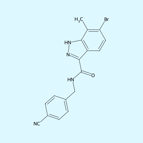 Cc1c(Br)ccc2c(C(=O)NCc3ccc(C#N)cc3)n[nH]c12